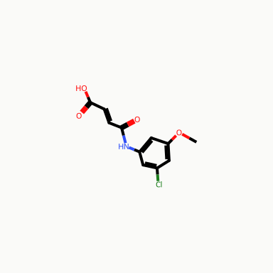 COc1cc(Cl)cc(NC(=O)/C=C/C(=O)O)c1